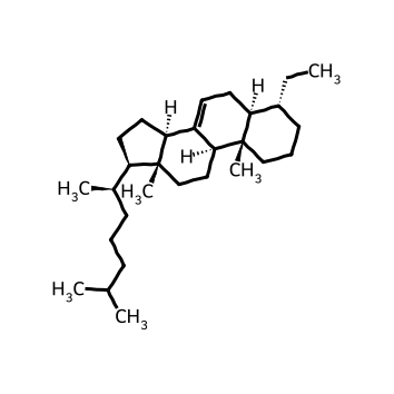 CC[C@@H]1CCC[C@]2(C)[C@H]3CC[C@]4(C)[C@@H]([C@H](C)CCCC(C)C)CC[C@H]4C3=CC[C@@H]12